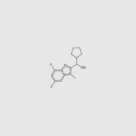 Cc1c(C(O)C2CCCC2)oc2c(F)cc(F)cc12